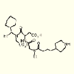 CCC(C1CCCCC1)N(CC(=O)O)C(=O)C(CC(=O)O)NC(=O)CN(CC)C(=O)CCCC1CCNCC1